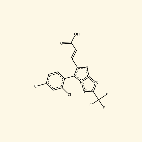 O=C(O)/C=C/c1nc2sc(C(F)(F)F)nn2c1-c1ccc(Cl)cc1Cl